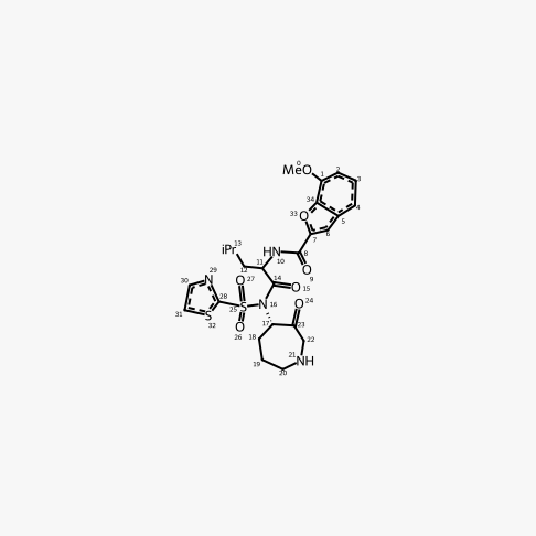 COc1cccc2cc(C(=O)NC(CC(C)C)C(=O)N([C@H]3CCCNCC3=O)S(=O)(=O)c3nccs3)oc12